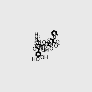 Nc1nc(C(C(=O)N[C@@H]2C(=O)N3C(C(=O)[O-])=C(C[n+]4ccccc4)CS[C@H]23)N(O)C(C(=O)O)c2ccc(O)c(O)c2)cs1